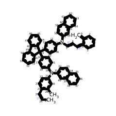 C=c1cccc/c1=C/C=C/N(c1ccc(C2(c3ccc(N(c4ccc(/C=C\C)c(C)c4)c4ccc5ccccc5c4)cc3)c3ccccc3-c3ccccc32)cc1)c1ccc2ccccc2c1